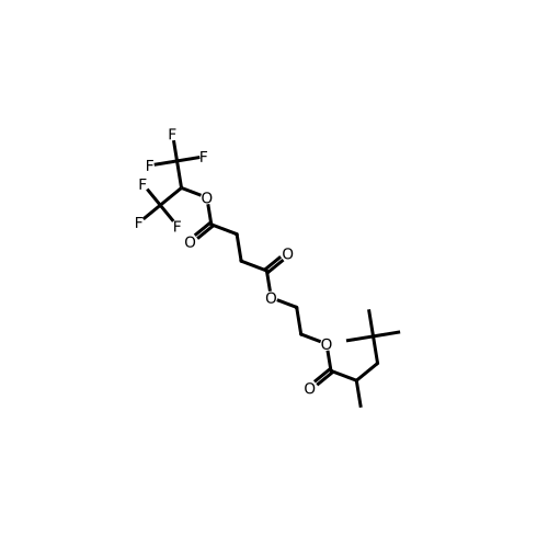 CC(CC(C)(C)C)C(=O)OCCOC(=O)CCC(=O)OC(C(F)(F)F)C(F)(F)F